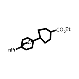 CCCC12CCC(C3CCC(C(=O)OCC)CC3)(CC1)CC2